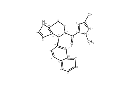 Cn1nc(Cl)nc1C(=O)N1CCc2[nH]cnc2[C@@H]1c1ccc2ccccc2n1